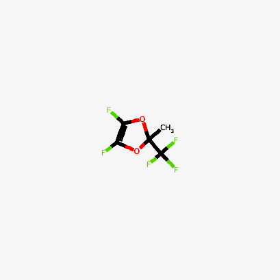 CC1(C(F)(F)F)OC(F)=C(F)O1